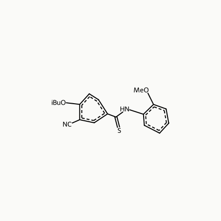 COc1ccccc1NC(=S)c1ccc(OCC(C)C)c(C#N)c1